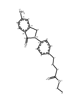 CCOC(=O)CCCc1ccc(N2Cc3cc(N)ccc3C2=O)cc1